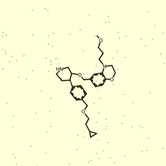 COCCCN1CCOc2ccc(COC3CNCCC3c3ccc(COCCC4CC4)cc3)cc21